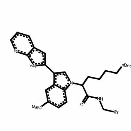 CCCCCCCCCCCCCCC(C(=O)NCC(C)C)n1cc(-c2cc3cccnc3[nH]2)c2cc(OC)ccc21